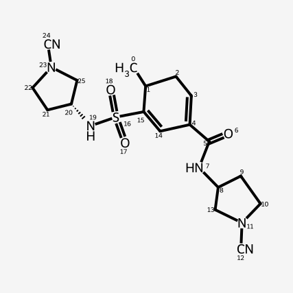 CC1CC=C(C(=O)NC2CCN(C#N)C2)C=C1S(=O)(=O)N[C@@H]1CCN(C#N)C1